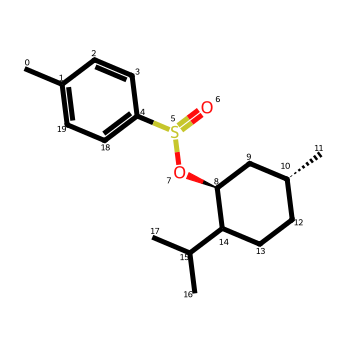 Cc1ccc(S(=O)O[C@H]2C[C@H](C)CCC2C(C)C)cc1